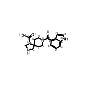 NC(=O)N1CNCC12CCN(C(=O)c1cccc3[nH]ccc13)CC2